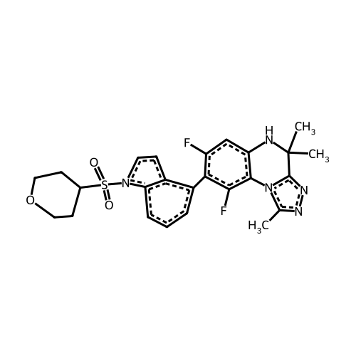 Cc1nnc2n1-c1c(cc(F)c(-c3cccc4c3ccn4S(=O)(=O)C3CCOCC3)c1F)NC2(C)C